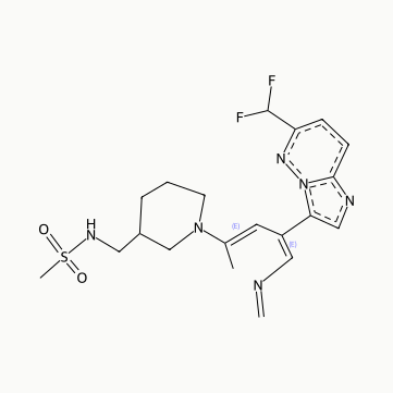 C=N/C=C(\C=C(/C)N1CCCC(CNS(C)(=O)=O)C1)c1cnc2ccc(C(F)F)nn12